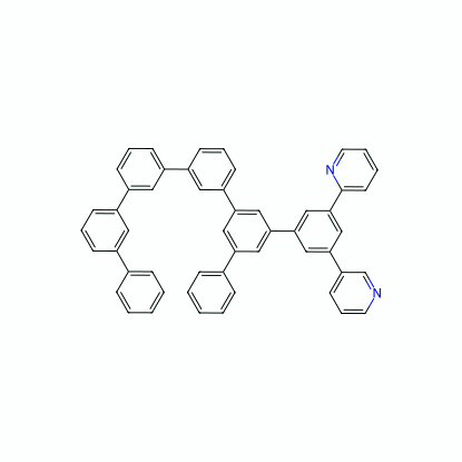 c1ccc(-c2cccc(-c3cccc(-c4cccc(-c5cc(-c6ccccc6)cc(-c6cc(-c7cccnc7)cc(-c7ccccn7)c6)c5)c4)c3)c2)cc1